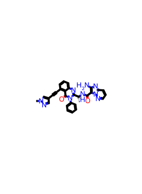 C[C@@H](NC(=O)c1c(N)nc2cccnn12)c1nc2cccc(C#Cc3cnn(C)c3)c2c(=O)n1-c1ccccc1